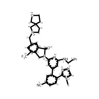 CC(C)CNc1cc(-c2cc(C#N)ccc2-c2nncn2C)cc(N2Cc3c(cc(CN4CCC5(CCOC5)C4)cc3C(F)(F)F)C2=O)n1